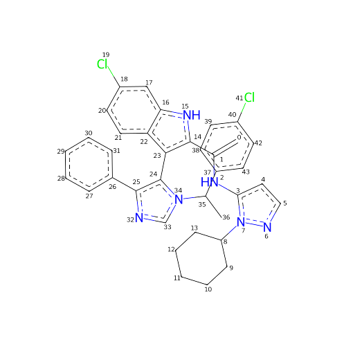 C=C(Nc1ccnn1C1CCCCC1)c1[nH]c2cc(Cl)ccc2c1-c1c(-c2ccccc2)ncn1C(C)c1ccc(Cl)cc1